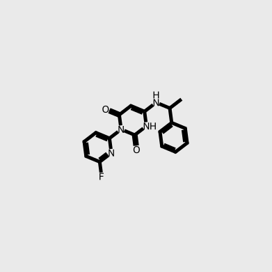 CC(Nc1cc(=O)n(-c2cccc(F)n2)c(=O)[nH]1)c1ccccc1